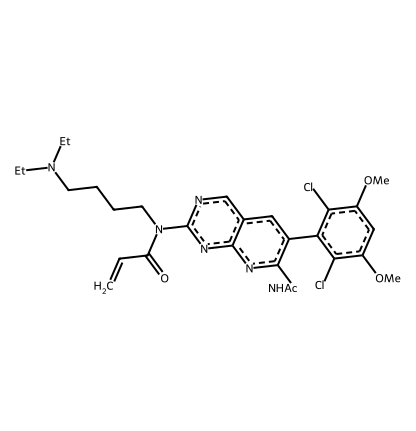 C=CC(=O)N(CCCCN(CC)CC)c1ncc2cc(-c3c(Cl)c(OC)cc(OC)c3Cl)c(NC(C)=O)nc2n1